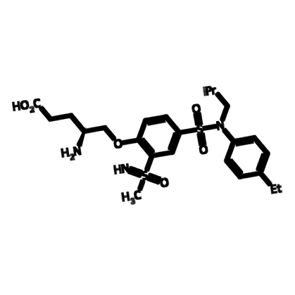 CCc1ccc(N(CC(C)C)S(=O)(=O)c2ccc(OC[C@@H](N)CCC(=O)O)c(S(C)(=N)=O)c2)cc1